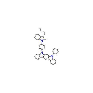 C=C/C=C\c1c(C)n(-c2ccc(-n3c4ccccc4c4cc5c6ccccc6n(-c6ccccc6)c5cc43)cc2)c2ccccc12